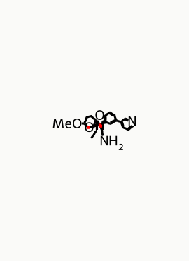 COC1CCC2(CC1)Oc1ccc(-c3cccnc3)cc1C21N=C(N)N(C)C1=O